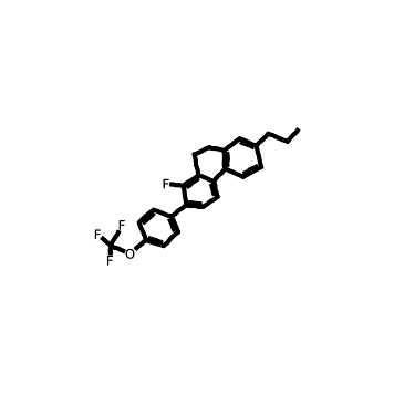 CCCc1ccc2c(c1)CCc1c-2ccc(-c2ccc(OC(F)(F)F)cc2)c1F